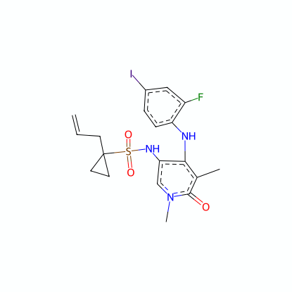 C=CCC1(S(=O)(=O)Nc2cn(C)c(=O)c(C)c2Nc2ccc(I)cc2F)CC1